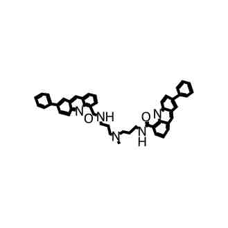 CN(CCCNC(=O)c1cccc2cc3cc(-c4ccccc4)ccc3nc12)CCCNC(=O)c1cccc2cc3cc(-c4ccccc4)ccc3nc12